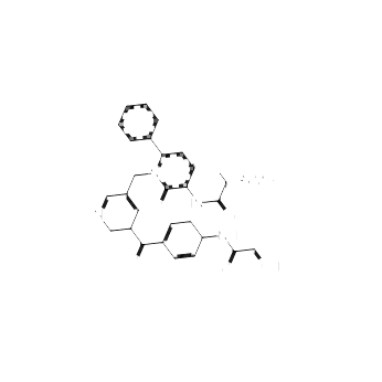 C=CC(=O)NC1C=CC(C(=O)C2C=C(Cn3c(-c4ccccc4)ccc(NC(=O)[C@H](C)NC)c3=O)C=NC2)=CC1